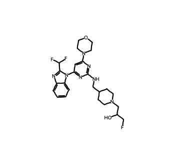 OC(CF)CN1CCC(CNc2nc(N3CCOCC3)cc(-n3c(C(F)F)nc4ccccc43)n2)CC1